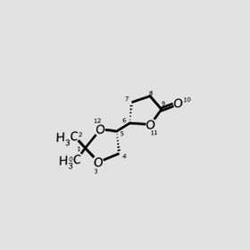 CC1(C)OC[C@@H]([C@@H]2CCC(=O)O2)O1